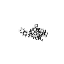 Cc1nc2cc(-c3ccc4c(c3)CCCC4)nn2c(-c2ccc(Cl)cc2F)c1[C@H](OC(C)(C)C)C(=O)O